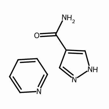 NC(=O)c1cn[nH]c1.c1ccncc1